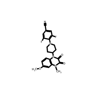 COc1ccc2c(c1)n(C)c(=O)c(=O)n2C1CCN(c2c(F)cc(C#N)cc2F)CC1